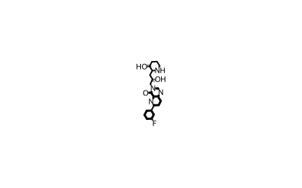 O=c1c2nc(-c3cccc(F)c3)ccc2ncn1C[C@@H](O)CC1NCCC[C@@H]1O